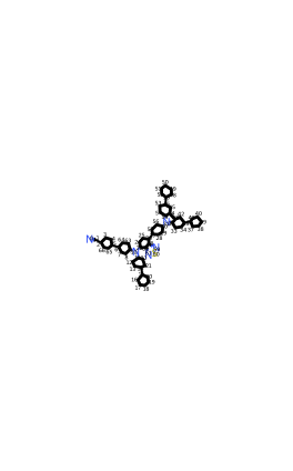 N#Cc1ccc(-c2ccc(N(c3ccc(-c4ccccc4)cc3)c3ccc(-c4ccc(-n5c6ccc(-c7ccccc7)cc6c6cc(-c7ccccc7)ccc65)cc4)c4nsnc34)cc2)cc1